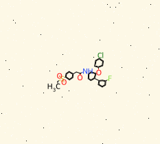 CCS(=O)(=O)c1ccc(CC(=O)Nc2ccc(-c3cccc(F)c3)c(Oc3ccc(Cl)cc3)c2)cc1